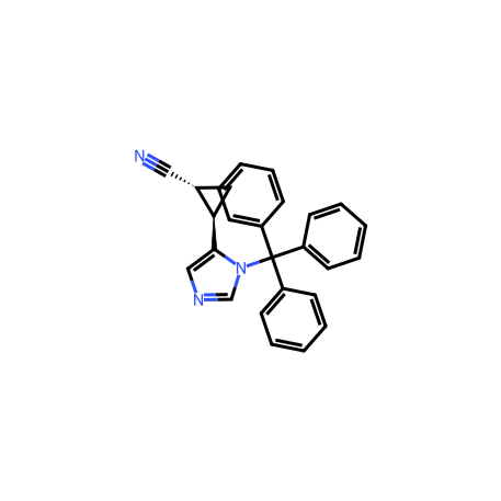 N#C[C@@H]1C[C@H]1c1cncn1C(c1ccccc1)(c1ccccc1)c1ccccc1